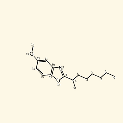 CCCCCCC(C)c1nc2cc(OC)ccc2o1